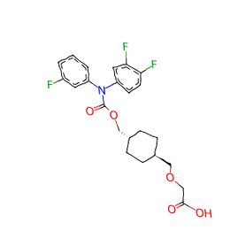 O=C(O)COC[C@H]1CC[C@H](COC(=O)N(c2cccc(F)c2)c2ccc(F)c(F)c2)CC1